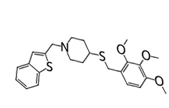 COc1ccc(CSC2CCN(Cc3cc4ccccc4s3)CC2)c(OC)c1OC